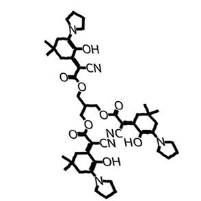 CC1(C)CC(N2CCCC2)=C(O)/C(=C(\C#N)C(=O)OCC(COC(=O)/C(C#N)=C2\CC(C)(C)CC(N3CCCC3)=C2O)COC(=O)/C(C#N)=C2\CC(C)(C)CC(N3CCCC3)=C2O)C1